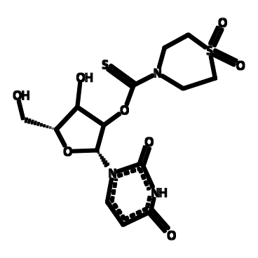 O=c1ccn([C@@H]2O[C@H](CO)C(O)C2OC(=S)N2CCS(=O)(=O)CC2)c(=O)[nH]1